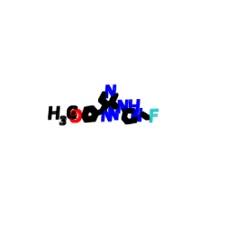 COc1ccc(-c2nnc(NC3CCCN(CCF)C3)c3cnccc23)cc1